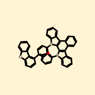 c1ccc(-n2c3ccccc3c3c4ccccc4c4c5ccccc5n(-c5ccc(-c6cccc7oc8ccccc8c67)cc5)c4c32)cc1